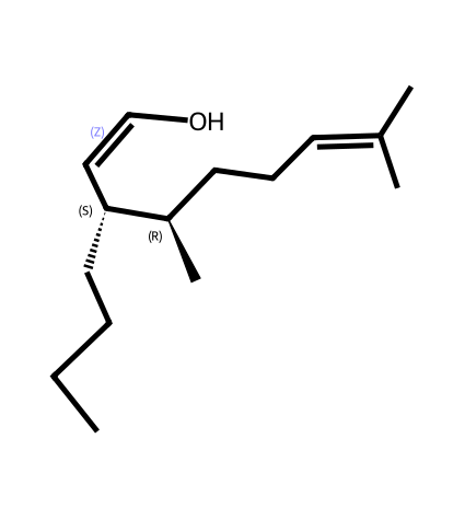 CCCC[C@H](/C=C\O)[C@H](C)CCC=C(C)C